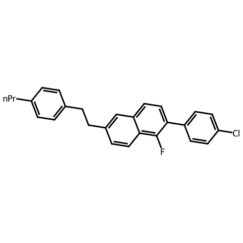 CCCc1ccc(CCc2ccc3c(F)c(-c4ccc(Cl)cc4)ccc3c2)cc1